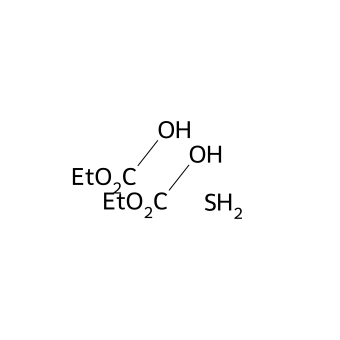 CCOC(=O)O.CCOC(=O)O.S